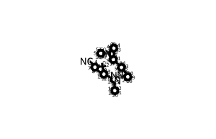 CC1(C)c2cc(C#N)ccc2-c2ccc(-c3cc(-c4ccccc4)nc(-n4c5ccccc5c5ccc(-c6ccc7c(c6)c6ccccc6n7-c6ccccc6)cc54)n3)cc21